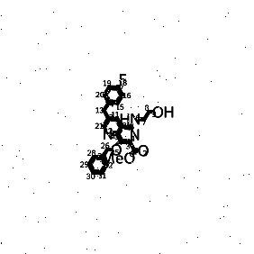 COC(=O)c1nc(NCCO)c2cc(Cc3ccc(F)cc3)cnc2c1OCc1ccccc1